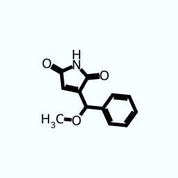 COC(C1=CC(=O)NC1=O)c1ccccc1